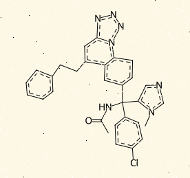 CC(=O)NC(c1ccc(Cl)cc1)(c1ccc2c(c1)c(CCc1ccccc1)cc1nnnn12)c1cncn1C